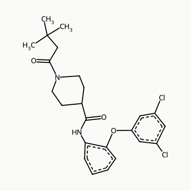 CC(C)(C)CC(=O)N1CCC(C(=O)Nc2ccccc2Oc2cc(Cl)cc(Cl)c2)CC1